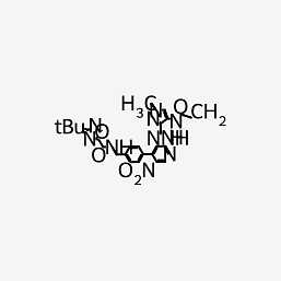 C=CC(=O)Nc1cn(C)nc1-c1nc2c(-c3ccc(CNC(=O)c4nc(C(C)(C)C)no4)c([N+](=O)[O-])c3)ccnc2[nH]1